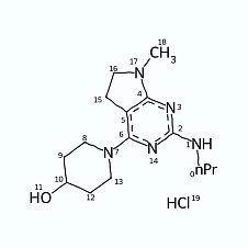 CCCNc1nc2c(c(N3CCC(O)CC3)n1)CCN2C.Cl